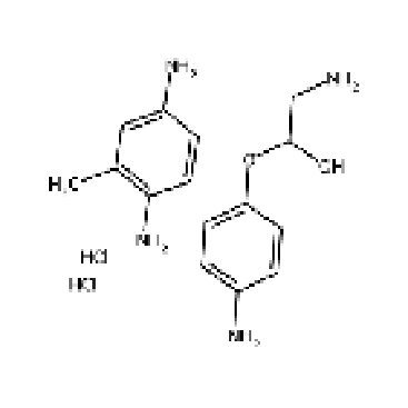 Cc1cc(N)ccc1N.Cl.Cl.NCC(O)Oc1ccc(N)cc1